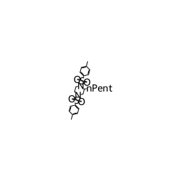 CCCCCC1CN(S(=O)(=O)c2ccc(C)cc2)CCN1S(=O)(=O)c1ccc(C)cc1